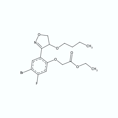 CCCCOC1CON=C1c1cc(Br)c(F)cc1OCC(=O)OCC